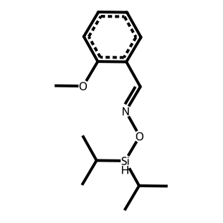 COc1ccccc1C=NO[SiH](C(C)C)C(C)C